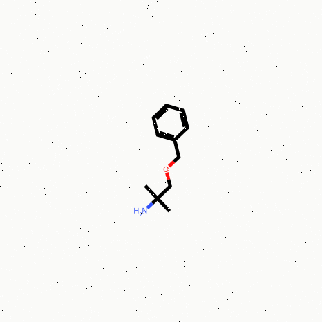 CC(C)(N)COCc1ccccc1